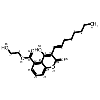 CCCCCCC=Cc1c(O)c2c(C(=O)OCCO)cccc2oc1=O